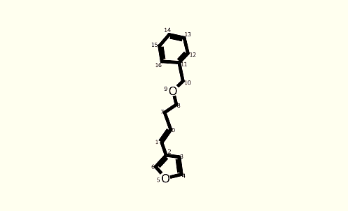 C(=C\c1ccoc1)/CCOCc1ccccc1